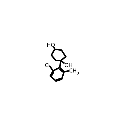 Cc1cccc(Cl)c1C1(O)CCC(O)CC1